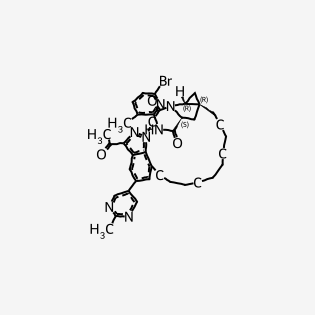 CC(=O)c1nn2c3c(cc(-c4cnc(C)nc4)cc13)CCCCCCCCCC[C@@]13C[C@@H](C(=O)Nc4nc(Br)ccc4C)N(C(=O)C2)[C@@H]1C3